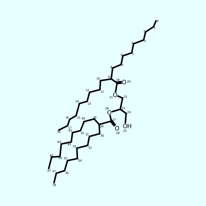 CCCCCCCCCC(CCCCCCCCC)C(=O)OCC(CO)OC(=O)C(CCCCCCCCC)CCCCCCCCC